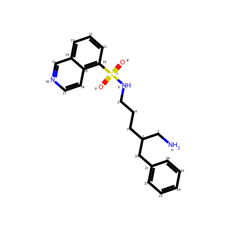 NCC(CCCNS(=O)(=O)c1cccc2cnccc12)Cc1ccccc1